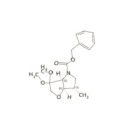 COC1(OC)CO[C@H]2[C@@H]1N(C(=O)OCc1ccccc1)C[C@@H]2C